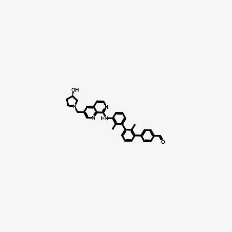 Cc1c(Nc2nccc3cc(CN4CC[C@@H](O)C4)cnc23)cccc1-c1cccc(-c2ccc(C=O)cc2)c1C